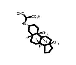 C[C@@]12CCC[C@H]1[C@@H]1CC[C@@H]3C[C@H](NC(C=O)C(=O)O)CC[C@]3(C)[C@H]1CC2